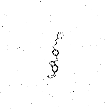 CCNCCOc1ccc(Oc2[c]sc3cc(OC)ccc23)cc1